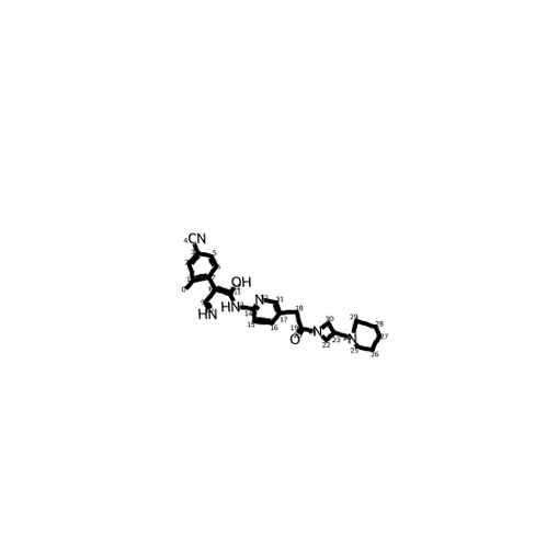 Cc1cc(C#N)ccc1/C(C=N)=C(\O)Nc1ccc(CC(=O)N2CC(N3CCCCC3)C2)cn1